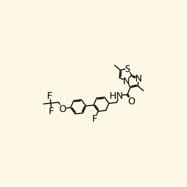 Cc1cn2c(C(=O)NCC3C=CC(c4ccc(OCC(C)(F)F)cc4)=C(F)C3)c(C)nc2s1